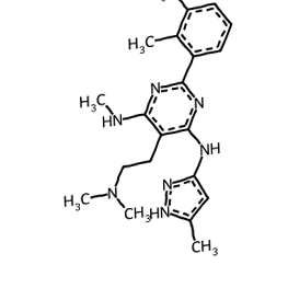 CNc1nc(-c2cccc(C)c2C)nc(Nc2cc(C)[nH]n2)c1CCN(C)C